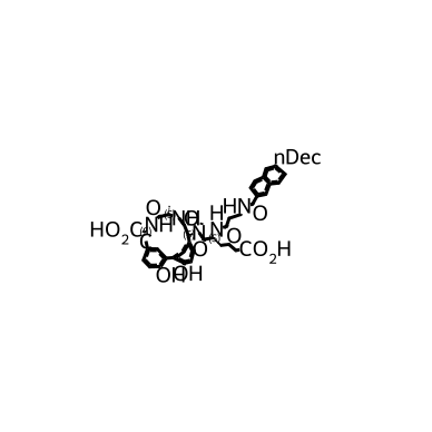 CCCCCCCCCCc1ccc2cc(C(=O)NCCC(=O)N[C@@H](CCCC(=O)O)C(=O)N(C)[C@@H]3C(=O)N[C@@H](C)C(=O)N[C@H](C(=O)O)Cc4ccc(O)c(c4)-c4cc3ccc4O)ccc2c1